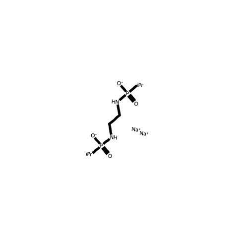 CC(C)P(=O)([O-])NCCNP(=O)([O-])C(C)C.[Na+].[Na+]